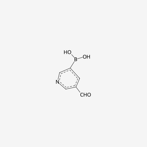 O=Cc1cncc(B(O)O)c1